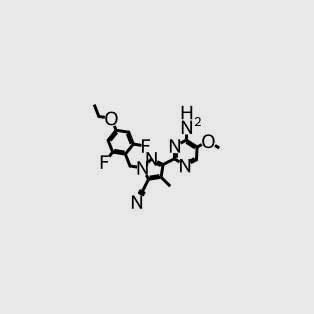 CCOc1cc(F)c(Cn2nc(-c3ncc(OC)c(N)n3)c(C)c2C#N)c(F)c1